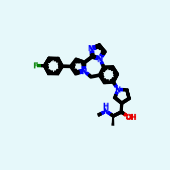 CN[C@H](C)C(O)C1CCN(c2ccc3c(c2)Cn2cc(-c4ccc(F)cc4)cc2-c2nccn2-3)C1